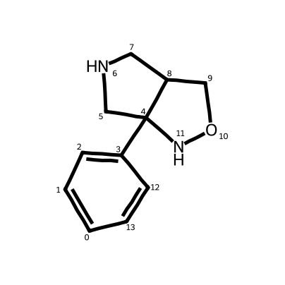 c1ccc(C23CNCC2CON3)cc1